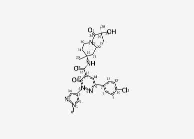 Cn1cc(-n2nc(-c3ccc(Cl)cc3)cc(C(=O)NC3(C)CCN(C(=O)C(C)(C)O)CC3)c2=O)cn1